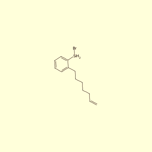 C=CCCCCCc1ccccc1[SiH2]Br